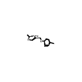 Cc1ccc(OCC2=CSC(C)N2)cc1